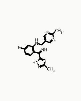 Cc1ncc(CNc2cc(F)ccc2C(=N)c2nc(C)n[nH]2)cn1